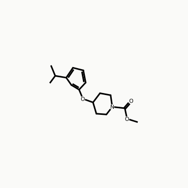 COC(=O)N1CCC(Oc2cccc(C(C)C)c2)CC1